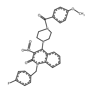 COc1ccc(C(=O)N2CCN(c3c([N+](=O)[O-])c(=O)n(Cc4ccc(F)cc4)c4ccccc34)CC2)cc1